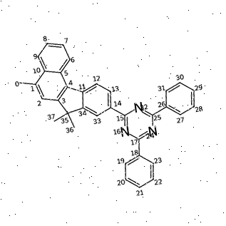 Cc1cc2c(c3ccccc13)-c1ccc(-c3nc(-c4ccccc4)nc(-c4ccccc4)n3)cc1C2(C)C